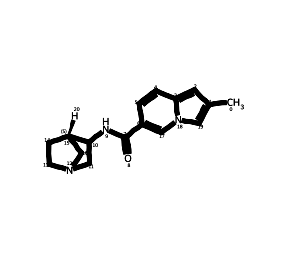 Cc1cc2ccc(C(=O)NC3CN4CC[C@H]3C4)cn2c1